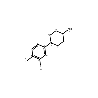 NC1CCN(c2ccc(Cl)c(F)c2)CC1